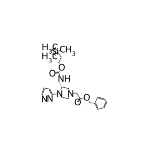 C[Si](C)(C)CCOC(=O)NC[C@@H]1CN(CC(=O)OCc2ccccc2)CCN1c1cccnn1